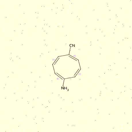 N#CC1=C/C=C\C(N)=C/C=C\1